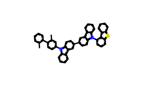 Cc1ccccc1-c1ccc(-n2c3ccccc3c3cc(-c4ccc5c(c4)c4ccccc4n5-c4cccc5sc6ccccc6c45)ccc32)cc1C